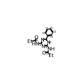 CCC(=O)Nc1nc(NC(=O)CC)nc(-c2ccccc2)n1